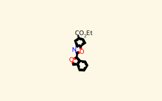 CCOC(=O)c1ccc2oc(-c3occ4ccccc34)nc2c1